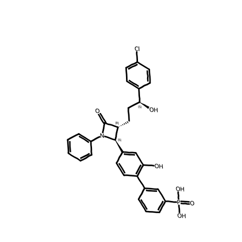 O=C1[C@H](CC[C@H](O)c2ccc(Cl)cc2)[C@@H](c2ccc(-c3cccc(P(=O)(O)O)c3)c(O)c2)N1c1ccccc1